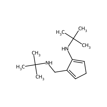 CC(C)(C)NCC1=CCC=C1NC(C)(C)C